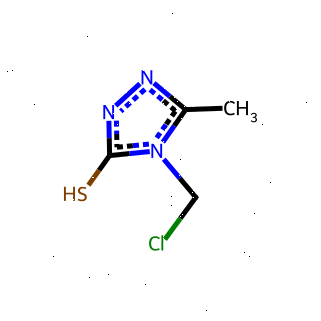 Cc1nnc(S)n1CCl